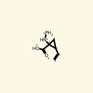 C=CC1CC1(NP)C(=O)O